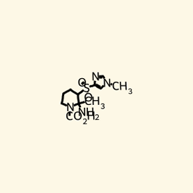 Cn1cnc(S(=O)(=O)C2CCCN(C(=O)O)C2(C)N)c1